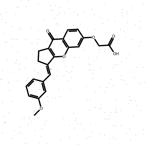 COc1cccc(/C=C2\CCc3c2oc2cc(OCC(=O)O)ccc2c3=O)c1